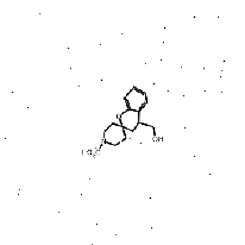 O=C(O)N1CCC2(CC1)CC(CO)c1ccccc1O2